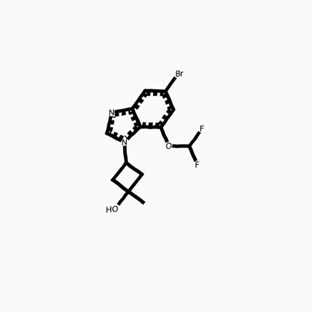 CC1(O)CC(n2cnc3cc(Br)cc(OC(F)F)c32)C1